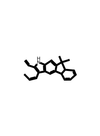 C=Cc1[nH]c2cc3c(cc2c1/C=C\C)C1C=CC=CC1C3(C)C